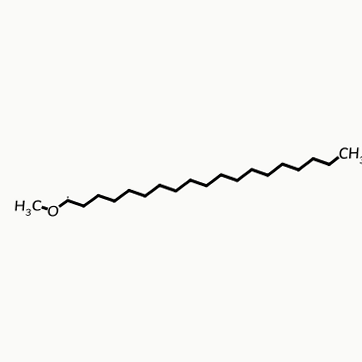 CCCCCCCCCCCCCCCCCC[CH]OC